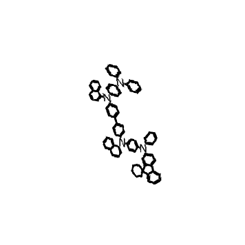 c1ccc(N(c2ccccc2)c2ccc(N(c3ccc(-c4ccc(N(c5ccc(N(c6ccccc6)c6ccc7c(c6)C6(CCCCC6)c6ccccc6-7)cc5)c5cccc6ccccc56)cc4)cc3)c3cccc4ccccc34)cc2)cc1